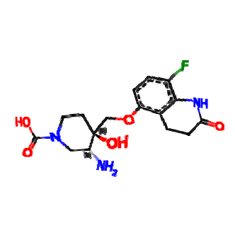 N[C@@H]1CN(C(=O)O)CC[C@]1(O)COc1ccc(F)c2c1CCC(=O)N2